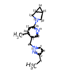 CCc1ccn(Cc2cnc(N3CC4CC4C3)cc2C)n1